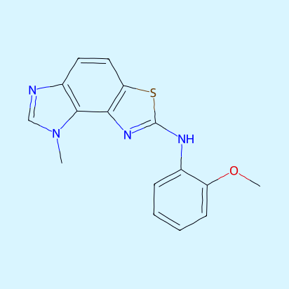 COc1ccccc1Nc1nc2c(ccc3ncn(C)c32)s1